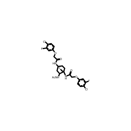 CC(=O)NC1CC2(NC(=O)COc3ccc(Cl)c(F)c3)CCC1(NC(=O)COc1ccc(Cl)c(F)c1)CC2